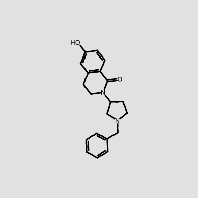 O=C1c2ccc(O)cc2CCN1C1CCN(Cc2ccccc2)C1